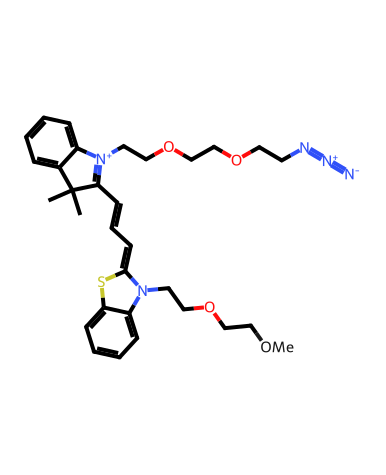 COCCOCCN1/C(=C/C=C/C2=[N+](CCOCCOCCN=[N+]=[N-])c3ccccc3C2(C)C)Sc2ccccc21